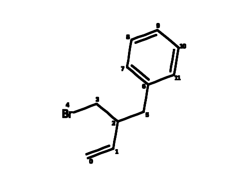 C=CC(CBr)Cc1ccccc1